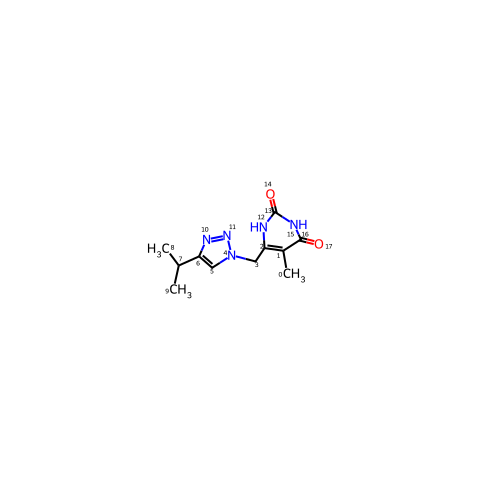 Cc1c(Cn2cc(C(C)C)nn2)[nH]c(=O)[nH]c1=O